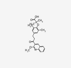 COc1nc2ccccc2cc1C(=O)CCc1cc(C)c(OC(C)(C)C(=O)O)c(C)c1